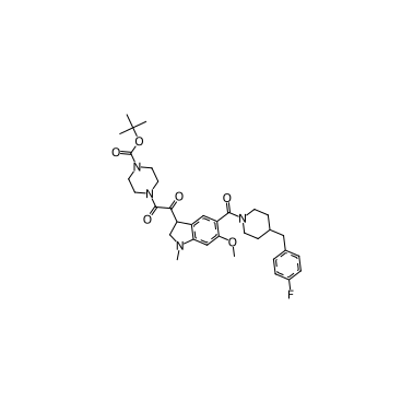 COc1cc2c(cc1C(=O)N1CCC(Cc3ccc(F)cc3)CC1)C(C(=O)C(=O)N1CCN(C(=O)OC(C)(C)C)CC1)CN2C